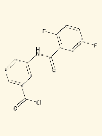 O=C(Cl)c1cccc(NC(=O)c2cc(F)ccc2F)c1